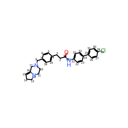 O=C(CCc1ccc(CN2CCN3CCC=C3C2)cc1)Nc1ccc(-c2ccc(Cl)cc2)cc1